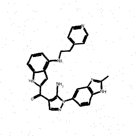 Cc1nc2cc(-n3ncc(C(=O)c4cc5c(NCCc6ccncc6)cccc5[nH]4)c3N)ccc2[nH]1